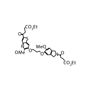 CCOC(=O)CCC(=O)c1cc2nc(OC)c(OCCCOc3cc4c(cc3OC)CN(C(=O)CCC(=O)OCC)C4)cc2s1